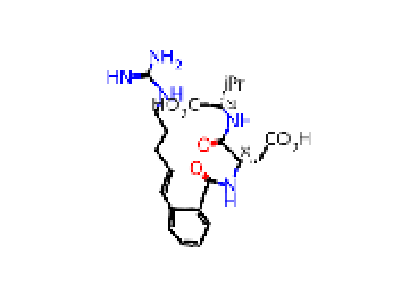 CC(C)[C@H](NC(=O)[C@H](CC(=O)O)NC(=O)c1ccccc1C=CCCCNC(=N)N)C(=O)O